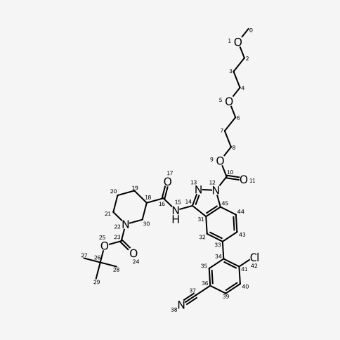 COCCCOCCCOC(=O)n1nc(NC(=O)C2CCCN(C(=O)OC(C)(C)C)C2)c2cc(-c3cc(C#N)ccc3Cl)ccc21